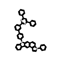 c1ccc(-c2cc(-c3ccccc3)nc(-c3cccc(-c4ccc(-n5c6ccccc6c6cc7c(ccc8c7ccn8-c7ccccc7)cc65)cc4)c3)n2)cc1